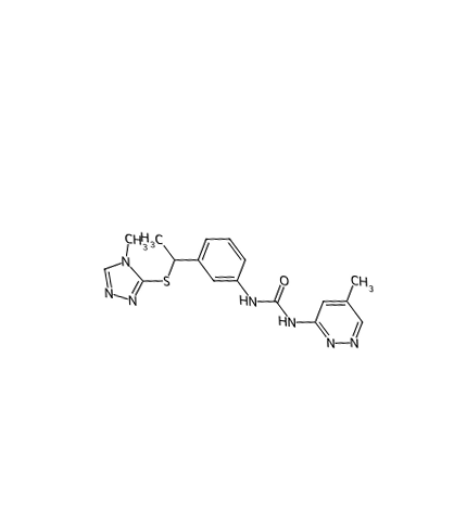 Cc1cnnc(NC(=O)Nc2cccc(C(C)Sc3nncn3C)c2)c1